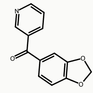 O=C(c1cccnc1)c1ccc2c(c1)OCO2